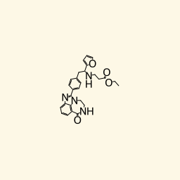 CCOC(=O)CCNC(Cc1ccc(-c2nc3cccc4c3n2CCNC4=O)cc1)c1ccco1